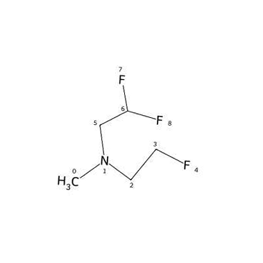 CN(CCF)CC(F)F